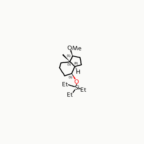 CC[Si](CC)(CC)O[C@H]1CCC[C@]2(C)[C@@H](OC)CC[C@@H]12